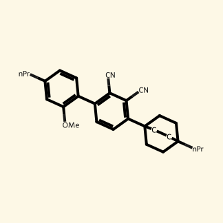 CCCc1ccc(-c2ccc(C34CCC(CCC)(CC3)CC4)c(C#N)c2C#N)c(OC)c1